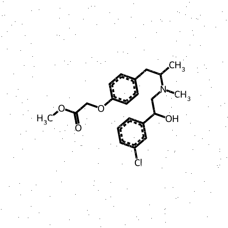 COC(=O)COc1ccc(CC(C)N(C)CC(O)c2cccc(Cl)c2)cc1